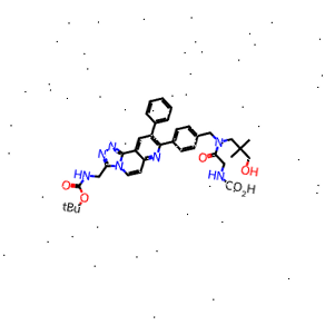 CC(C)(CO)CN(Cc1ccc(-c2nc3ccn4c(CNC(=O)OC(C)(C)C)nnc4c3cc2-c2ccccc2)cc1)C(=O)CNC(=O)O